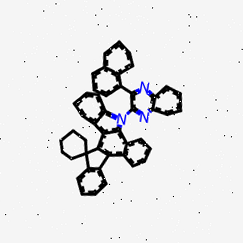 c1ccc2c(c1)-c1c(c3c4ccccc4n(-c4nc5ccccc5nc4-c4cccc5ccccc45)c3c3ccccc13)C21CCCCC1